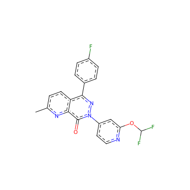 Cc1ccc2c(-c3ccc(F)cc3)nn(-c3ccnc(OC(F)F)c3)c(=O)c2n1